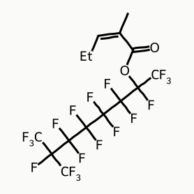 CCC=C(C)C(=O)OC(F)(C(F)(F)F)C(F)(F)C(F)(F)C(F)(F)C(F)(F)C(F)(C(F)(F)F)C(F)(F)F